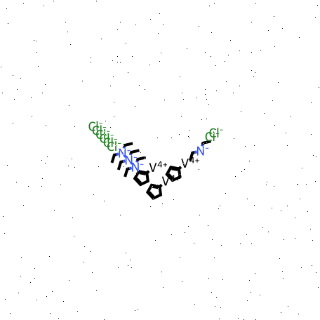 CC[N-]CC.CC[N-]CC.CC[N-]CC.CC[N-]CC.[Cl-].[Cl-].[Cl-].[Cl-].[Cl-].[Cl-].[Cl-].[Cl-].[V+4][C]1=CC=CC1.[V+4][C]1=CC=CC1.[V+4][C]1=CC=CC1